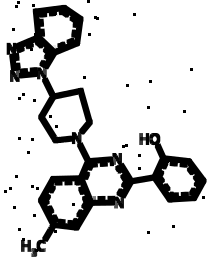 Cc1ccc2c(N3CCC(n4nnc5ccccc54)CC3)nc(-c3ccccc3O)nc2c1